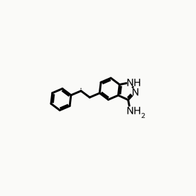 Nc1n[nH]c2ccc(C[CH]c3ccccc3)cc12